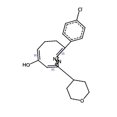 OC1=C/CC/C=c2/c(c(C3CCOCC3)nn2-c2ccc(Cl)cc2)=C\1